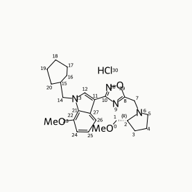 COC[C@H]1CCCN1Cc1nc(-c2cn(CC3CCCCC3)c3c(OC)cccc23)no1.Cl